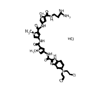 Cl.Cn1cc(NC(=O)c2cc(NC(=O)c3cc(NC(=O)c4nc5cc(N(CCCl)CCCl)ccc5[nH]4)cn3C)cn2C)cc1C(=O)NCCC(=N)N